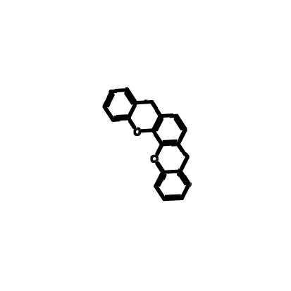 c1ccc2c(c1)Cc1ccc3c(c1O2)Oc1ccccc1C3